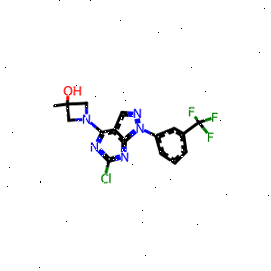 CC1(O)CN(c2nc(Cl)nc3c2cnn3-c2cccc(C(F)(F)F)c2)C1